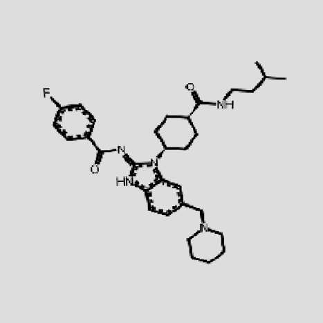 CC(C)CCNC(=O)[C@H]1CC[C@@H](n2/c(=N/C(=O)c3ccc(F)cc3)[nH]c3ccc(CN4CCCCC4)cc32)CC1